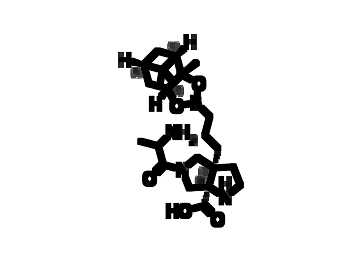 CC(N)C(=O)N1C[C@@]2(CCCB3O[C@@H]4C[C@@H]5C[C@@H](C5(C)C)[C@]4(C)O3)CCN[C@@]2(C(=O)O)C1